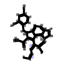 C/C=C\C=C(/C(C)=O)c1c(C(=O)O)n(Cc2ccc(F)cc2F)c2ccc3ncsc3c12